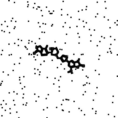 COc1cc(-n2cc(CN3CCN[C@H](c4ccc5c(c4C)COC5=O)C3)cn2)cc2c1oc(=O)n2C